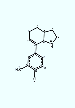 Cc1cc(C2=CCCC3CCNC23)cnc1Cl